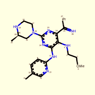 COCCNc1c(Nc2ccc(C)cn2)nc(N2CCN[C@H](C)C2)nc1C(=N)C(C)C